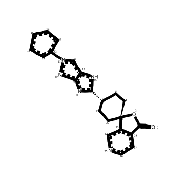 O=C1O[C@]2(CC[C@@H](c3nc4nn(-c5ccccc5)cc4[nH]3)CC2)c2cnccc21